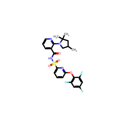 CC1CN(c2ncccc2C(=O)NS(=O)(=O)c2cccc(Oc3c(F)cc(F)cc3F)n2)C(C)(C)C1